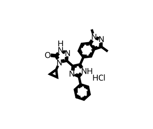 Cc1nn(C)c2ccc(-c3[nH]c(-c4ccccc4)nc3-c3n[nH]c(=O)n3C3CC3)cc12.Cl